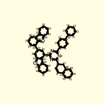 C1=CC(c2nc(-c3ccc(-c4ccccc4)cc3)nc(-c3cc(-c4cccc5c4oc4ccccc45)cc4oc5ccccc5c34)n2)Cc2ccccc21